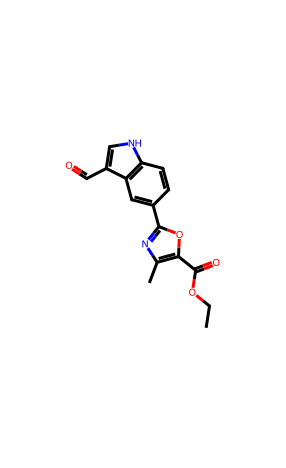 CCOC(=O)c1oc(-c2ccc3[nH]cc(C=O)c3c2)nc1C